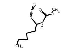 CCCCCC(N=C=O)NC(=O)OC